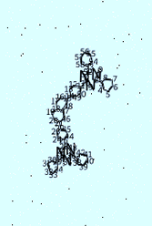 CN1C(c2ccccc2)=NC(c2ccc(-c3ccc4ccc(-c5ccc(-c6nc(-c7ccccc7)nc(-c7ccccc7)n6)cc5)cc4c3)cc2)=NC1c1ccccc1